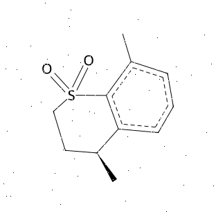 Cc1cccc2c1S(=O)(=O)CC[C@@H]2C